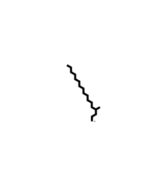 [CH2]CCC(C)CCCCCCCCCCCCC